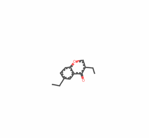 CCc1ccc2occ(CC)c(=O)c2c1